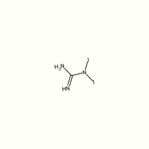 N=C(N)N(I)I